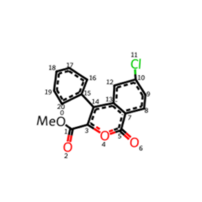 COC(=O)c1oc(=O)c2ccc(Cl)cc2c1-c1ccccc1